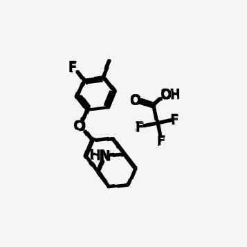 Cc1ccc(OC2CC3CCCC(C2)N3)cc1F.O=C(O)C(F)(F)F